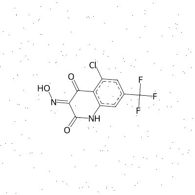 O=C1Nc2cc(C(F)(F)F)cc(Cl)c2C(=O)C1=NO